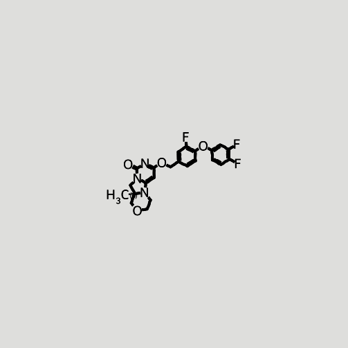 C[C@@]12COCCN1c1cc(OCc3ccc(Oc4ccc(F)c(F)c4)c(F)c3)nc(=O)n1C2